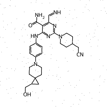 N#CCC1CCN(c2nc(C=N)c(C(N)=O)c(Nc3ccc(N4CCC5(CC4)CC5CO)cc3)n2)CC1